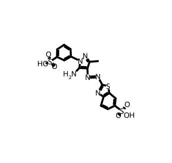 Cc1nn(-c2cccc(S(=O)(=O)O)c2)c(N)c1/N=N/c1nc2ccc(S(=O)(=O)O)cc2s1